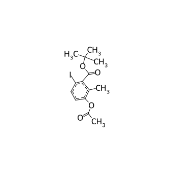 CC(=O)Oc1ccc(I)c(C(=O)OC(C)(C)C)c1C